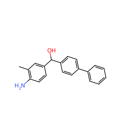 Cc1cc(C(O)c2ccc(-c3ccccc3)cc2)ccc1N